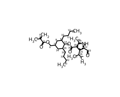 C=C(C)C(=O)OCC1CC(CCCC)C(OC(=O)c2c(C)[nH]c(C=O)c2C(C)C)C(CCCC)C1